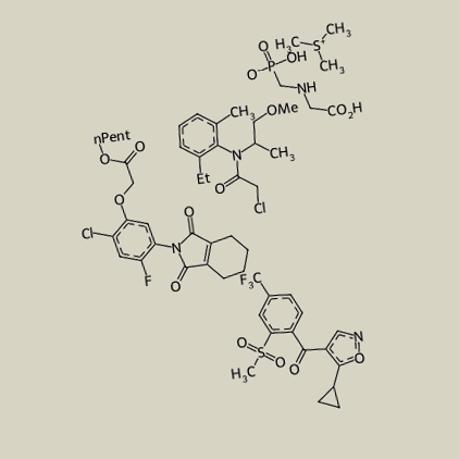 CCCCCOC(=O)COc1cc(N2C(=O)C3=C(CCCC3)C2=O)c(F)cc1Cl.CCc1cccc(C)c1N(C(=O)CCl)C(C)COC.CS(=O)(=O)c1cc(C(F)(F)F)ccc1C(=O)c1cnoc1C1CC1.C[S+](C)C.O=C(O)CNCP(=O)([O-])O